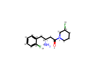 N[C@@H](CC(=O)N1CCCC(F)C1)Cc1ccccc1F